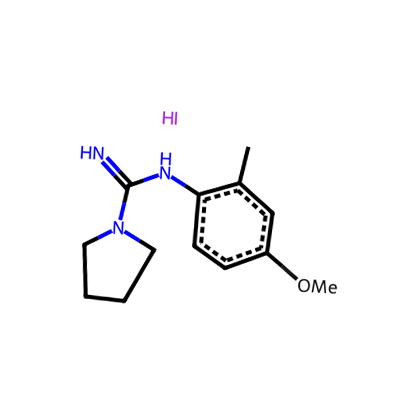 COc1ccc(NC(=N)N2CCCC2)c(C)c1.I